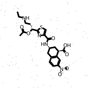 CCNCC[C@@H](OC(C)=O)c1nc(C(=O)N[C@H]2Cc3ccc([N+](=O)[O-])cc3[C@H](C(=O)O)C2)cs1